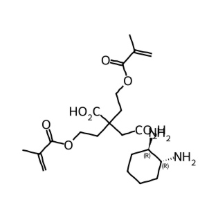 C=C(C)C(=O)OCCC(CCOC(=O)C(=C)C)(CC(=O)O)C(=O)O.N[C@@H]1CCCC[C@H]1N